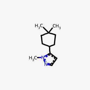 Cn1nccc1C1CCC(C)(C)CC1